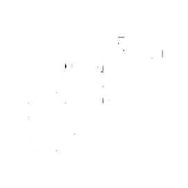 CNN1Oc2ccccc2O1